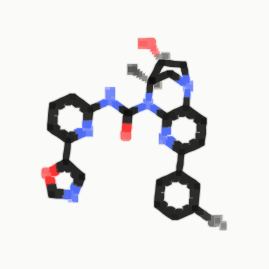 O=C(Nc1cccc(-c2cnco2)n1)N1c2nc(-c3cccc(C(F)(F)F)c3)ccc2N2C[C@@H](O)[C@H]1C2